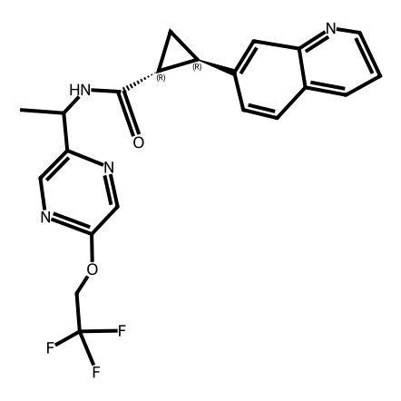 CC(NC(=O)[C@@H]1C[C@H]1c1ccc2cccnc2c1)c1cnc(OCC(F)(F)F)cn1